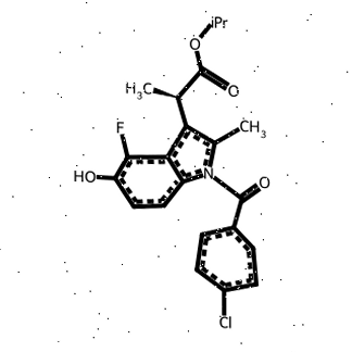 Cc1c([C@@H](C)C(=O)OC(C)C)c2c(F)c(O)ccc2n1C(=O)c1ccc(Cl)cc1